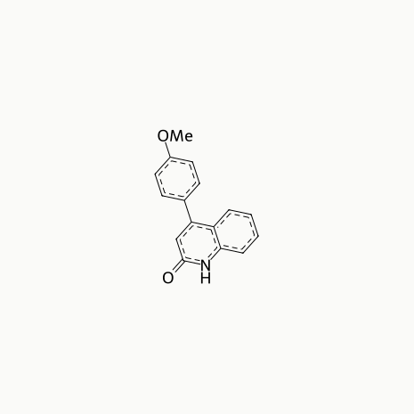 COc1ccc(-c2cc(=O)[nH]c3ccccc23)cc1